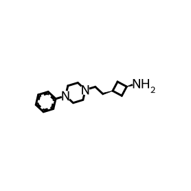 N[C@H]1C[C@@H](CCN2CCN(c3ccccc3)CC2)C1